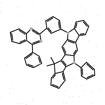 CC1(C)c2ccccc2-c2c1c1cc3c(cc1n2-c1ccccc1)c1ccccc1n3-c1cccc(-c2nc(-c3ccccc3)c3ccccc3n2)c1